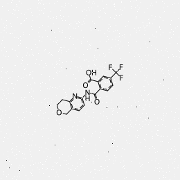 O=C(O)c1cc(C(F)(F)F)ccc1C(=O)Nc1ccc2c(n1)CCOC2